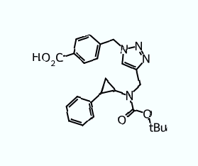 CC(C)(C)OC(=O)N(Cc1cn(Cc2ccc(C(=O)O)cc2)nn1)C1CC1c1ccccc1